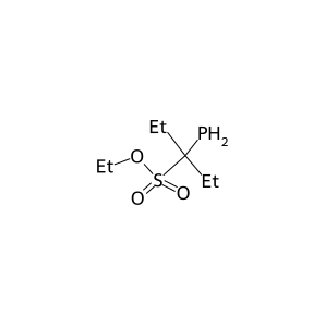 CCOS(=O)(=O)C(P)(CC)CC